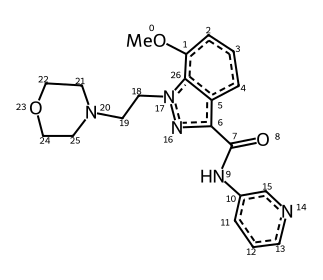 COc1cccc2c(C(=O)Nc3cccnc3)nn(CCN3CCOCC3)c12